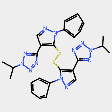 CC(C)n1nnc(-c2cnn(-c3ccccc3)c2SSc2c(-c3nnn(C(C)C)n3)cnn2-c2ccccc2)n1